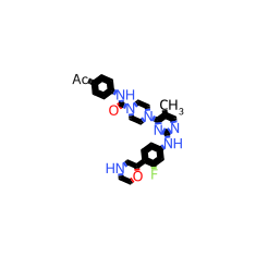 CC(=O)c1ccc(NC(=O)N2CCN(c3nc(Nc4ccc(C5CNCCO5)c(F)c4)ncc3C)CC2)cc1